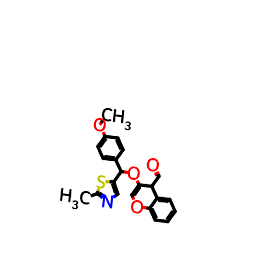 COc1ccc(C(OC2=COc3ccccc3C2C=O)c2cnc(C)s2)cc1